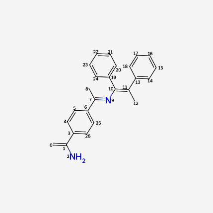 C=C(N)c1ccc(/C(C)=N/C(=C(\C)c2ccccc2)c2ccccc2)cc1